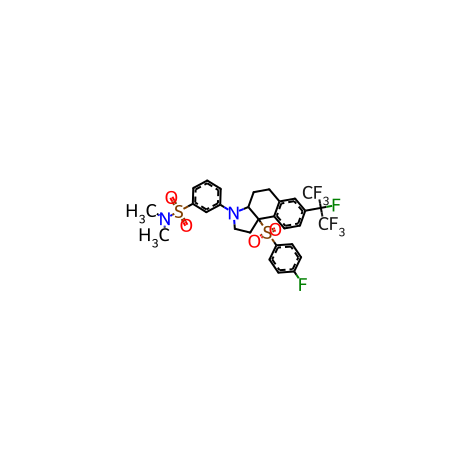 CN(C)S(=O)(=O)c1cccc(N2CCC3(S(=O)(=O)c4ccc(F)cc4)c4ccc(C(F)(C(F)(F)F)C(F)(F)F)cc4CCC23)c1